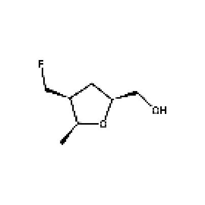 C[C@@H]1O[C@H](CO)C[C@@H]1CF